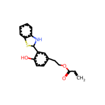 C=CC(=O)OCCc1ccc(O)c(C2Nc3ccccc3S2)c1